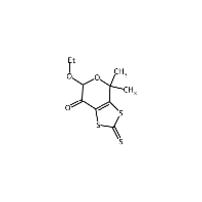 CCOC1OC(C)(C)c2sc(=S)sc2C1=O